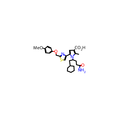 COc1ccc(OCc2nc(-c3cc(C(=O)O)c(C)n3C(CCC(N)=O)CC3CCCCC3)cs2)cc1